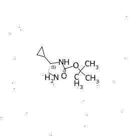 CC(C)(C)OC(=O)N[C@H](CN)C1CC1